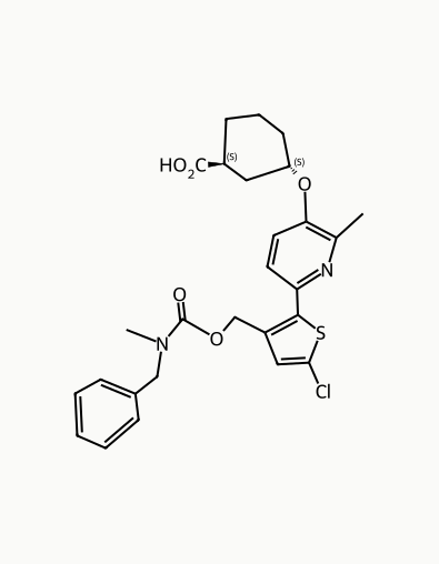 Cc1nc(-c2sc(Cl)cc2COC(=O)N(C)Cc2ccccc2)ccc1O[C@H]1CCC[C@H](C(=O)O)C1